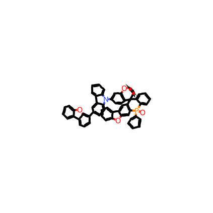 O=P1(c2ccccc2)c2ccccc2C2(c3ccccc3Oc3cc(-n4c5ccccc5c5cc(-c6cccc7c6oc6ccccc67)ccc54)ccc32)c2cc3c(cc21)oc1ccccc13